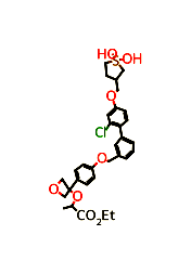 CCOC(=O)C(C)OC1(c2ccc(OCc3cccc(-c4ccc(OCC5CCS(O)(O)C5)cc4Cl)c3)cc2)COC1